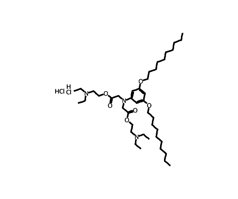 CCCCCCCCCCOc1cc(OCCCCCCCCCC)cc(N(CC(=O)OCCN(CC)CC)CC(=O)OCCN(CC)CC)c1.Cl.Cl